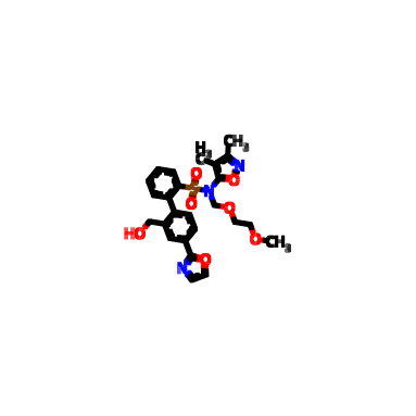 COCCOCN(c1onc(C)c1C)S(=O)(=O)c1ccccc1-c1ccc(-c2ncco2)cc1CO